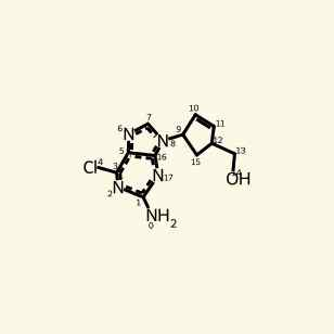 Nc1nc(Cl)c2ncn(C3C=CC(CO)C3)c2n1